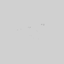 NCc1cc[c]cc1N=C=O